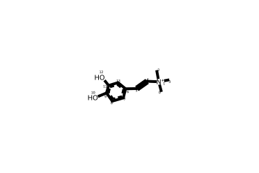 C[N+](C)(C)C#Cc1ccc(O)c(O)c1